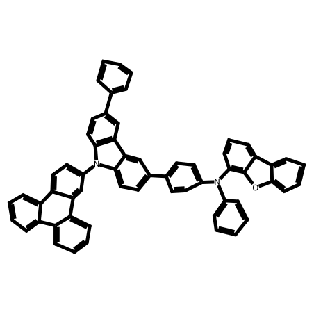 c1ccc(-c2ccc3c(c2)c2cc(-c4ccc(N(c5ccccc5)c5cccc6c5oc5ccccc56)cc4)ccc2n3-c2ccc3c4ccccc4c4ccccc4c3c2)cc1